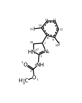 COC(=O)NC1=NC(c2c(I)cccc2I)CN1